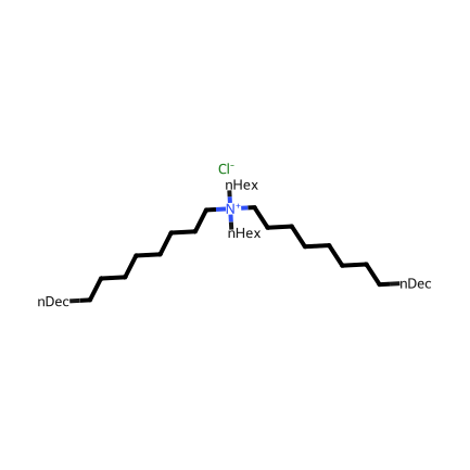 CCCCCCCCCCCCCCCCCC[N+](CCCCCC)(CCCCCC)CCCCCCCCCCCCCCCCCC.[Cl-]